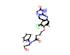 O=C1CN2Cc3c(ccc(OCCCC(=O)N(CCO)C4CCCC4)c3Cl)N=C2N1